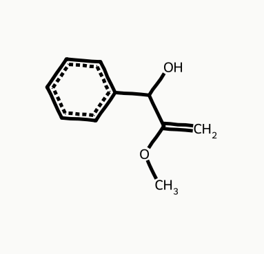 C=C(OC)C(O)c1ccccc1